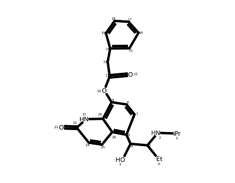 CCC(NC(C)C)C(O)c1ccc(OC(=O)Cc2ccccc2)c2[nH]c(=O)ccc12